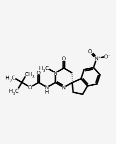 CN1C(=O)C[C@]2(CCc3ccc([N+](=O)[O-])cc32)N=C1NC(=O)OC(C)(C)C